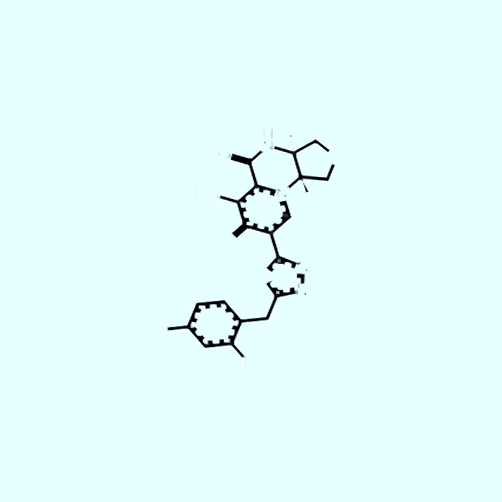 O=C1N[C@H]2COC[C@@H]2n2cc(-c3nnc(Cc4ccc(F)cc4F)s3)c(=O)c(O)c21